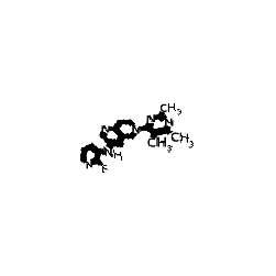 Cc1nc(C)c(C)c(N2CCc3ncc(Nc4cccnc4F)cc3C2)n1